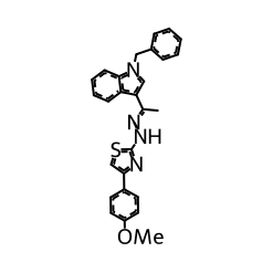 COc1ccc(-c2csc(NN=C(C)c3cn(Cc4ccccc4)c4ccccc34)n2)cc1